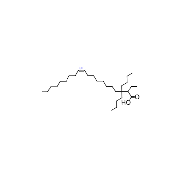 CCCCCCCC/C=C\CCCCCCCC(CCCC)(CCCC)[C](CC)C(=O)O